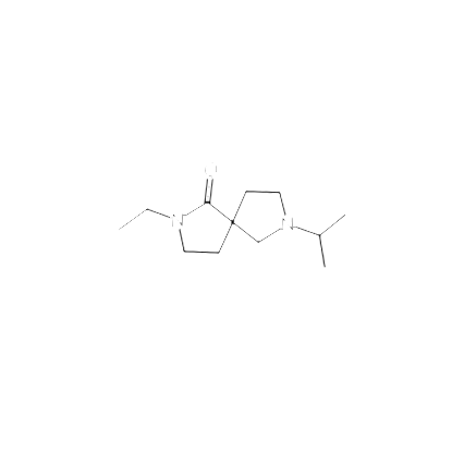 CCN1CCC2(CCN(C(C)C)C2)C1=O